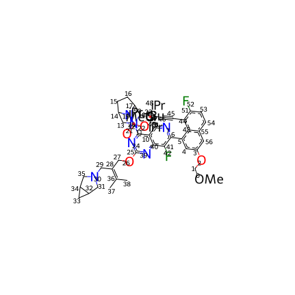 COCOc1cc(-c2nc(OC)c3c(N4CC5CCC(C4)N5C(=O)OC(C)(C)C)nc(OCC(CN4CC5CC5C4)=C(C)C)nc3c2F)c2c(C#C[Si](C(C)C)(C(C)C)C(C)C)c(F)ccc2c1